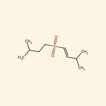 CC(C)/C=C/S(=O)(=O)CCC(C)C